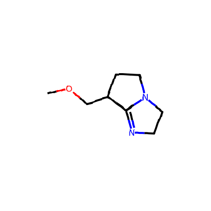 COCC1CCN2CCN=C12